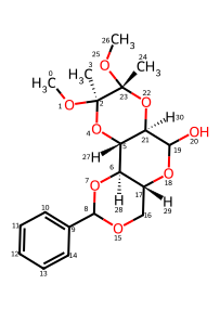 CO[C@]1(C)O[C@H]2[C@@H]3OC(c4ccccc4)OC[C@H]3OC(O)[C@@H]2O[C@@]1(C)OC